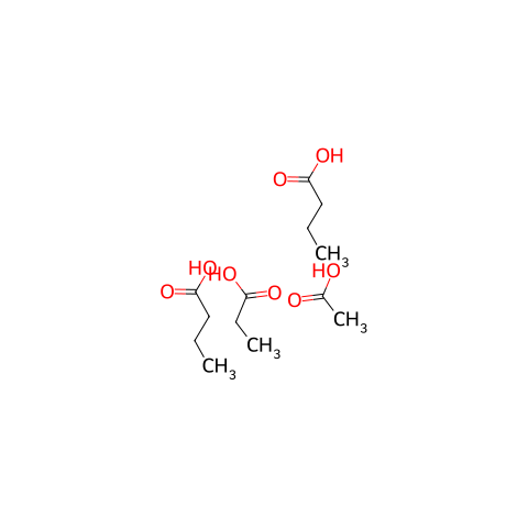 CC(=O)O.CCC(=O)O.CCCC(=O)O.CCCC(=O)O